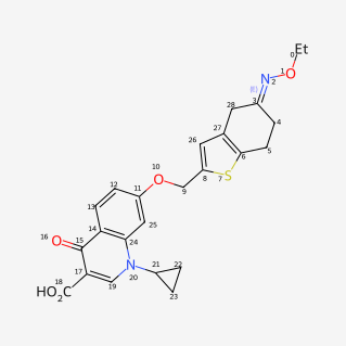 CCO/N=C1\CCc2sc(COc3ccc4c(=O)c(C(=O)O)cn(C5CC5)c4c3)cc2C1